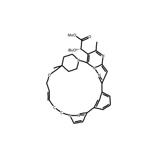 COC(=O)[C@@H](OCC(C)C)c1c(C)nc2cc3nn2c1N1CCC(C)(CC1)OC/C=C/CCn1ccc(n1)-c1cccc-3c1